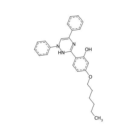 CCCCCCOc1ccc(C2=NC(c3ccccc3)=CN(c3ccccc3)N2)c(O)c1